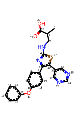 CC(CNc1nc(-c2ccc(Oc3ccccc3)cc2)c(-c2cncnc2)s1)C(=O)O